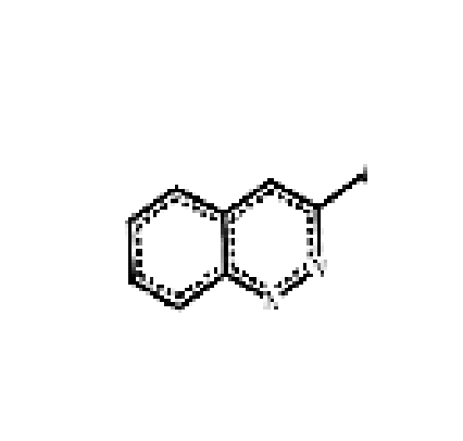 Ic1cc2ccccc2nn1